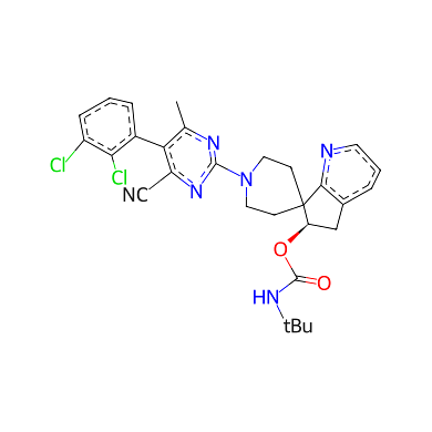 Cc1nc(N2CCC3(CC2)c2ncccc2C[C@H]3OC(=O)NC(C)(C)C)nc(C#N)c1-c1cccc(Cl)c1Cl